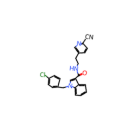 N#Cc1ccc(CCNC(=O)c2cn(Cc3ccc(Cl)cc3)c3ccccc23)cn1